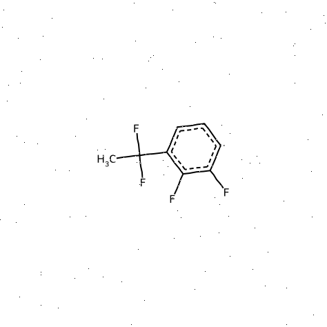 CC(F)(F)c1cc[c]c(F)c1F